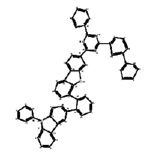 c1ccc(-c2cccc(-c3nc(-c4ccccc4)nc(-c4ccc5c(c4)sc4c(-c6ccccc6-c6ccc7c(c6)c6ccccc6n7-c6ccccc6)cccc45)n3)c2)cc1